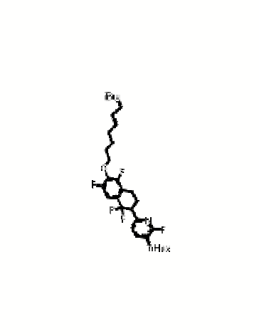 CCCCCCc1ccc(C2CCc3c(cc(F)c(OCCCCCCCC(C)CC)c3F)C2(F)F)nc1F